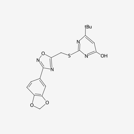 CC(C)(C)c1cc(O)nc(SCc2nc(-c3ccc4c(c3)OCO4)no2)n1